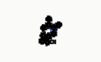 N#Cc1cccc2c1-c1cc(-c3cccc(-c4nc(-c5ccccc5)cc(-c5cc(-c6ccccc6)cc(-c6ccccc6)c5)n4)c3)ccc1C21c2ccccc2-c2ccccc21